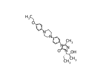 CCOc1ccc(N2CCN(c3ccc(-n4c(C)nn([C@@H](CC)[C@H](C)O)c4=O)cc3)CC2)cc1